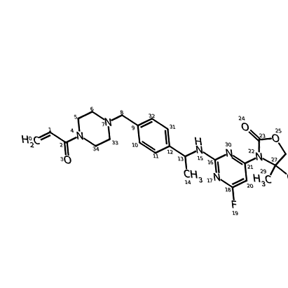 C=CC(=O)N1CCN(Cc2ccc(C(C)Nc3nc(F)cc(N4C(=O)OCC4(C)C)n3)cc2)CC1